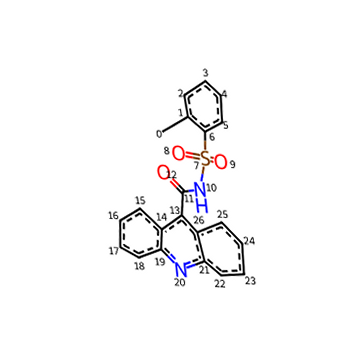 Cc1ccccc1S(=O)(=O)NC(=O)c1c2ccccc2nc2ccccc12